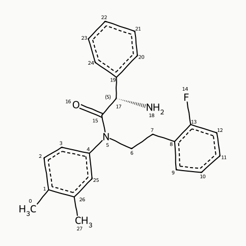 Cc1ccc(N(CCc2ccccc2F)C(=O)[C@@H](N)c2ccccc2)cc1C